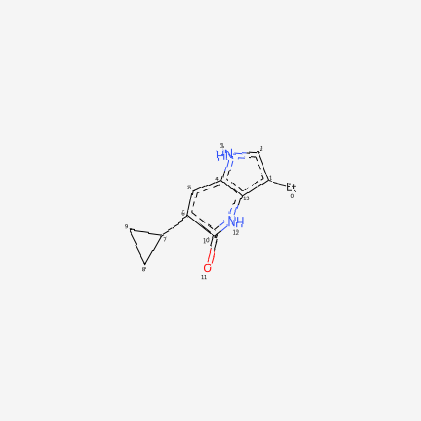 CCc1c[nH]c2cc(C3CC3)c(=O)[nH]c12